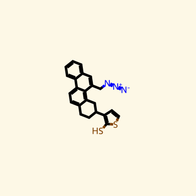 [N-]=[N+]=NCc1cc2ccccc2c2ccc3c(c12)CC(c1ccsc1S)CC3